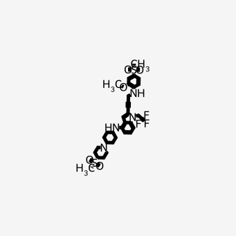 COc1cc(S(C)(=O)=O)ccc1NCC#Cc1cc2c(N[C@H]3CC[C@@H](N4CCC(S(C)(=O)=O)CC4)CC3)cccc2n1CC(F)(F)F